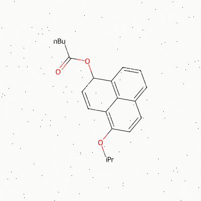 CCCCC(=O)OC1C=Cc2c(OC(C)C)ccc3cccc1c23